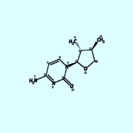 C[C@H]1[C@H](n2ccc(N)nc2=O)OC[C@@H]1C